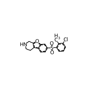 Cc1c(Cl)cccc1S(=O)(=O)c1ccc2c3c(oc2c1)CNCC3